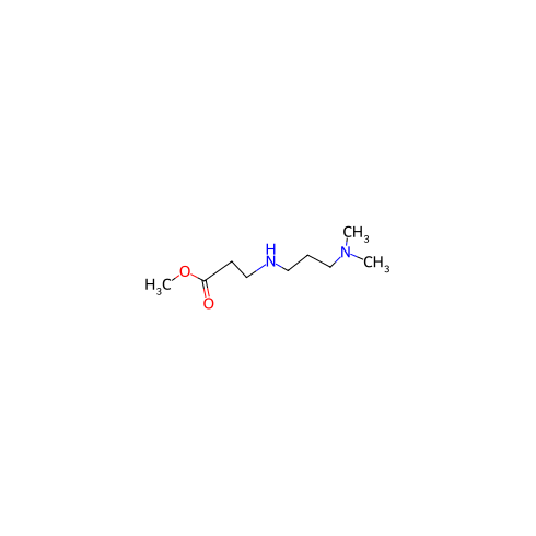 COC(=O)CCNCCCN(C)C